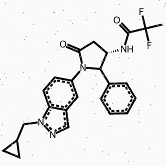 CC(F)(F)C(=O)N[C@H]1CC(=O)N(c2ccc3c(cnn3CC3CC3)c2)C1c1ccccc1